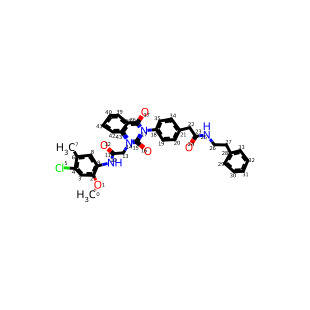 COc1cc(Cl)c(C)cc1NC(=O)Cn1c(=O)n(-c2ccc(CC(=O)NCCc3ccccc3)cc2)c(=O)c2ccccc21